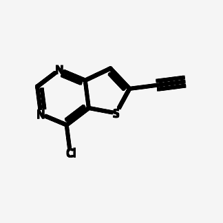 C#Cc1cc2ncnc(Cl)c2s1